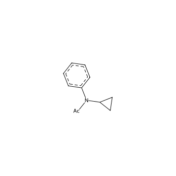 CC(=O)N(c1ccccc1)C1CC1